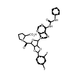 O=C(Nc1ccccc1)Nc1ncnc2c1ncn2C1OC(C(=O)N2CCCC2C(=O)O)C2OC(c3ccc(F)cc3F)OC21